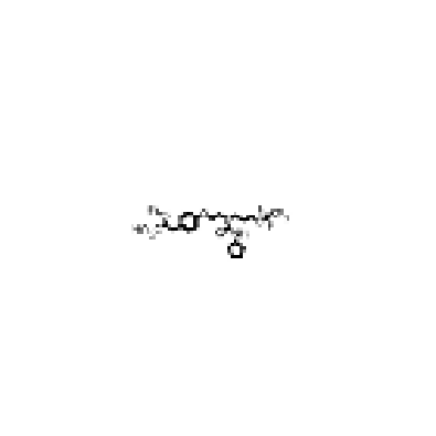 CCOC(Cc1ccc(OCCN(CCCOC(F)(F)C(F)(F)F)C(=O)NC2CCCC2)cc1)C(=O)O